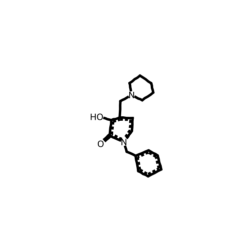 O=c1c(O)c(CN2CCCCC2)ccn1Cc1ccccc1